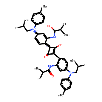 CCCCc1ccc(N(CC(CC)CCCC)c2ccc(C3=C([O-])/C(=C4C=C/C(=[N+](\CC(CC)CCCC)c5ccc(CCCC)cc5)C=C/4NC(O)C(CC)CCCC)C3=O)c(NC(=O)C(CC)CCCC)c2)cc1